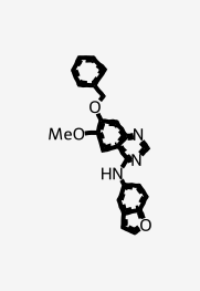 COc1cc2c(Nc3ccc4occc4c3)ncnc2cc1OCc1ccccc1